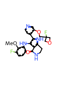 COc1c(F)cccc1Nc1c(-c2ccncc2OCC2(F)COC2)[nH]c2c1C(=O)NCC2